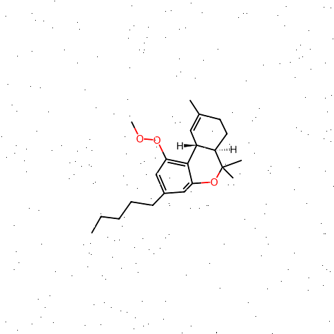 CCCCCc1cc(OOC)c2c(c1)OC(C)(C)[C@@H]1CCC(C)=C[C@@H]21